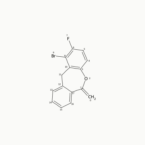 C=C1Oc2ccc(F)c(Br)c2Cc2ccccc21